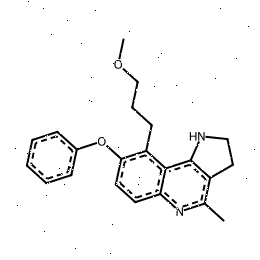 COCCCc1c(Oc2ccccc2)ccc2nc(C)c3c(c12)NCC3